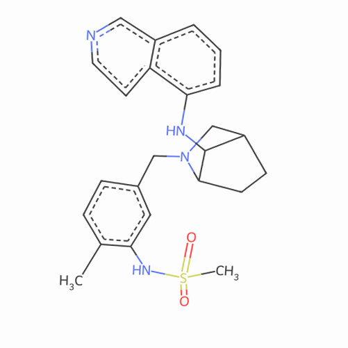 Cc1ccc(CN2CC3CCC2C3Nc2cccc3cnccc23)cc1NS(C)(=O)=O